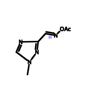 CC(=O)O/N=C/c1ncn(C)n1